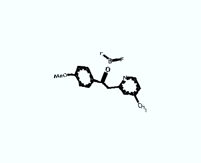 COc1ccc(C(=O)Cc2cc(C)ccn2)cc1.F[B]F